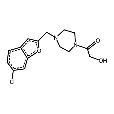 O=C(CO)N1CCN(Cc2cc3ccc(Cl)cc3o2)CC1